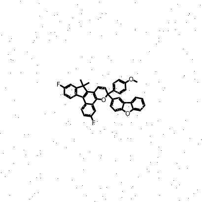 COc1ccc(C2(c3ccc4oc5ccccc5c4c3)C=Cc3c4c(c5ccc(F)cc5c3O2)-c2ccc(F)cc2C4(C)C)cc1